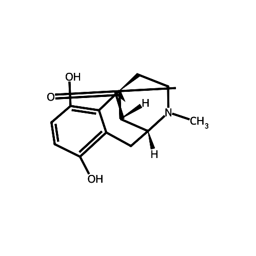 CN1CC[C@]23CC(=O)CC[C@H]2[C@H]1Cc1c(O)ccc(O)c13